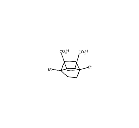 CCC12CCC(CC)(CC1)C(C(=O)O)=C2C(=O)O